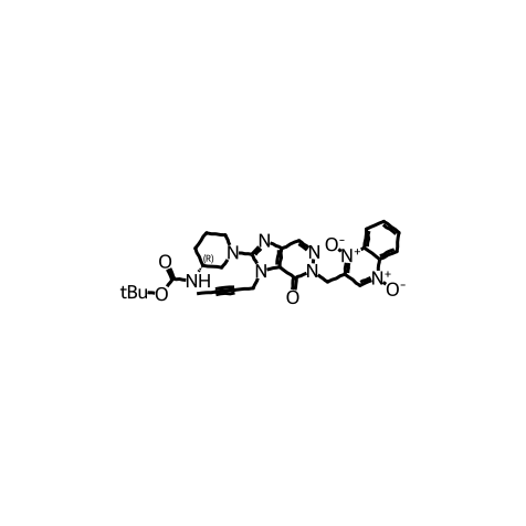 CC#CCn1c(N2CCC[C@@H](NC(=O)OC(C)(C)C)C2)nc2cnn(Cc3c[n+]([O-])c4ccccc4[n+]3[O-])c(=O)c21